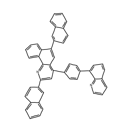 c1ccc2cc(-c3cc(-c4ccc(-c5cccc6cccnc56)cc4)c4cc(-c5ccc6ccccc6c5)c5ccccc5c4n3)ccc2c1